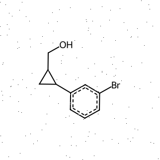 OCC1CC1c1cccc(Br)c1